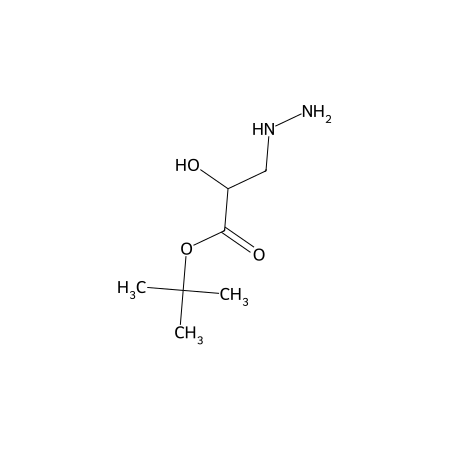 CC(C)(C)OC(=O)C(O)CNN